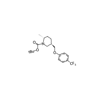 C[C@@H]1CC[C@@H](COc2ccc(C(F)(F)F)cc2)CN1C(=O)OC(C)(C)C